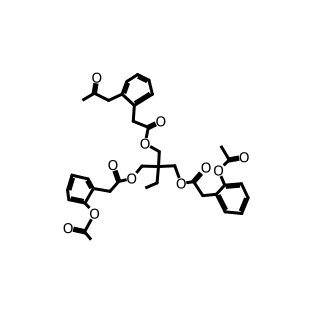 CCC(COC(=O)Cc1ccccc1CC(C)=O)(COC(=O)Cc1ccccc1OC(C)=O)COC(=O)Cc1ccccc1OC(C)=O